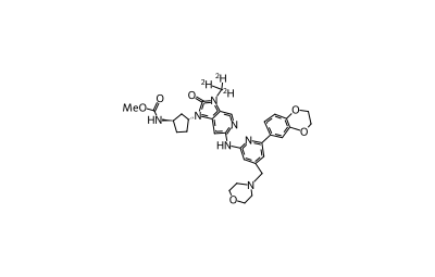 [2H]C([2H])([2H])n1c(=O)n([C@@H]2CC[C@@H](NC(=O)OC)C2)c2cc(Nc3cc(CN4CCOCC4)cc(-c4ccc5c(c4)OCCO5)n3)ncc21